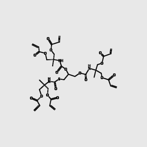 C=CC(=O)OCC(C)(COC(=O)C=C)NC(=O)OCC(CSC(=O)NC(C)(COC(=O)C=C)COC(=O)C=C)OC(=O)NC(C)(COC(=O)C=C)COC(=O)C=C